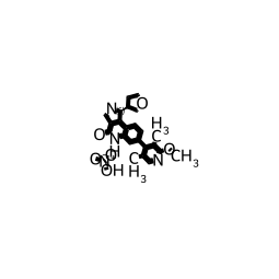 COc1ncc(C)c(-c2ccc3c4c(c(=O)[nH]c3c2)C=N[C@H]4C2CCOC2)c1C.O=[N+]([O-])O